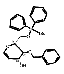 CC(C)(C)[Si](OC[C@H]1OC=C[C@@H](O)[C@@H]1OCc1ccccc1)(c1ccccc1)c1ccccc1